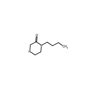 CCCCN1CC[N]CC1=O